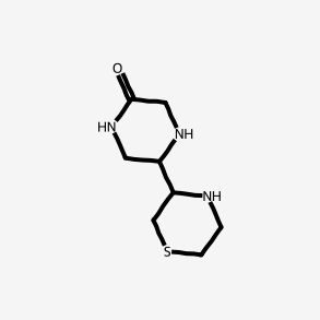 O=C1CNC(C2CSCCN2)CN1